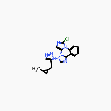 CC1CC1Cc1cnnn1N1C=NC2c3ccccc3-n3c(cnc3Cl)N21